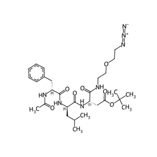 CC(=O)N[C@H](Cc1ccccc1)C(=O)N[C@H](CC(C)C)C(=O)N[C@@H](CC(=O)OC(C)(C)C)C(=O)NCCOCCN=[N+]=[N-]